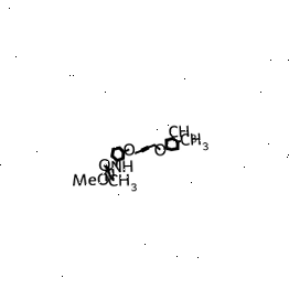 CON(C)C(=O)Nc1cccc(OCC#CCOc2ccc(C)c(C)c2)c1